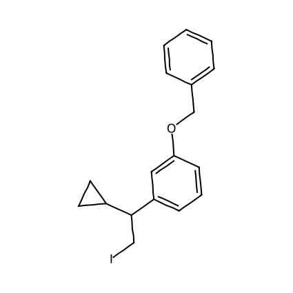 ICC(c1cccc(OCc2ccccc2)c1)C1CC1